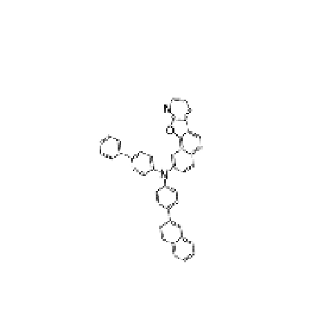 c1ccc(-c2ccc(N(c3ccc(-c4ccc5ccccc5c4)cc3)c3ccc4ccc5c6cccnc6oc5c4c3)cc2)cc1